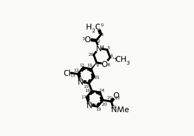 C=CC(=O)N1C[C@H](C)O[C@@H](c2cc(Cl)nc(-c3cncc(C(=O)NC)c3)c2)C1